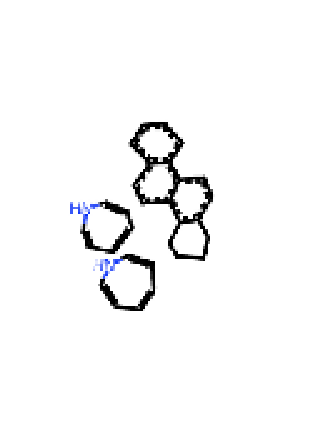 C1=CC=CNC=C1.C1=CC=CNC=C1.c1ccc2c(c1)ccc1c3c(ccc12)CCCC3